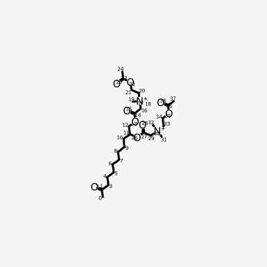 CC(=O)CCCCCCCCC(COC(=O)C[N+](C)(C)CCOC(C)=O)OC(=O)C[N+](C)(C)CCOC(C)=O